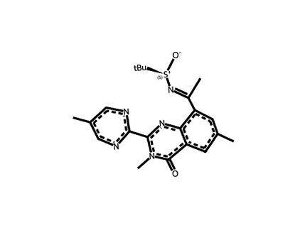 CC(=N[S@+]([O-])C(C)(C)C)c1cc(C)cc2c(=O)n(C)c(-c3ncc(C)cn3)nc12